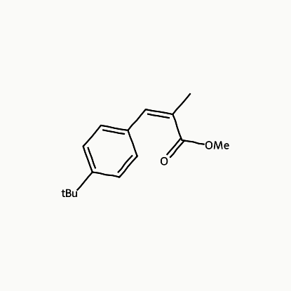 COC(=O)C(C)=Cc1ccc(C(C)(C)C)cc1